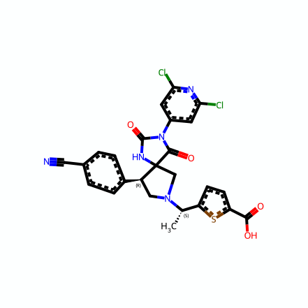 C[C@@H](c1ccc(C(=O)O)s1)N1C[C@@H](c2ccc(C#N)cc2)C2(C1)NC(=O)N(c1cc(Cl)nc(Cl)c1)C2=O